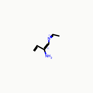 C=C/C(N)=C\N=C/C